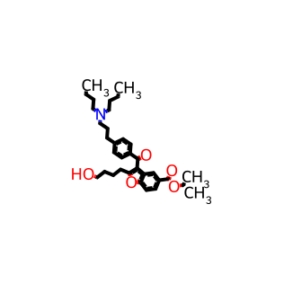 CCCCN(CCCC)CCCc1ccc(C(=O)c2c(CCCCO)oc3ccc(C(=O)OC(C)C)cc23)cc1